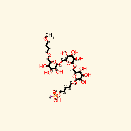 COCCCCOCC1OC(OCC2OC(OCC3OC(OCCCCCOP(=O)(O)I)C(O)C(O)C3O)C(O)C(O)C2O)C(O)C(O)C1O